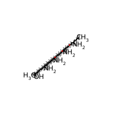 CCCCCC(N)CCCCCCCC(N)CCCCCCCC(N)CCCCCCCC(N)CCCCCCCC(C)O